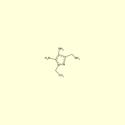 CCn1nc(CN)c(N)c1N